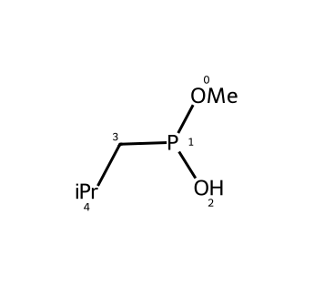 COP(O)CC(C)C